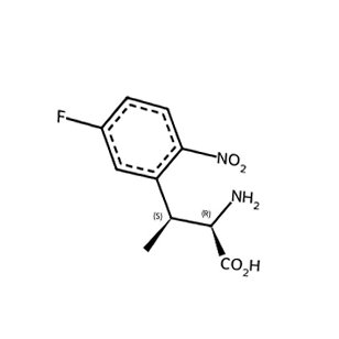 C[C@@H](c1cc(F)ccc1[N+](=O)[O-])[C@@H](N)C(=O)O